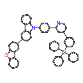 c1ccc([Si](c2ccccc2)(c2ccccc2)c2cccc(-c3ccnc(-c4ccc(-n5c6ccccc6c6cc(-c7ccc8oc9ccccc9c8c7)ccc65)cc4)c3)c2)cc1